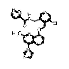 Cc1cc(-n2ccnc2)c2cccc(OCc3c(Cl)cncc3CNC(=O)c3ccno3)c2n1